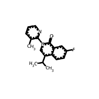 Cc1cccnc1-n1cc(C(C)C)c2ccc(F)cc2c1=O